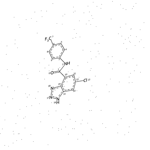 O=C(Nc1ccc(C(F)(F)F)cc1)c1cc(Cl)cc2[nH]nnc12